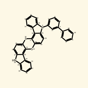 c1ccc(-c2cccc(-n3c4ccccc4c4c5c(ccc43)Sc3c(ccc4[nH]c6ccccc6c34)S5)c2)cc1